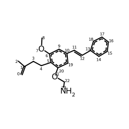 C=C(C)CCc1c(OC)cc(C=Cc2ccccc2)cc1OCN